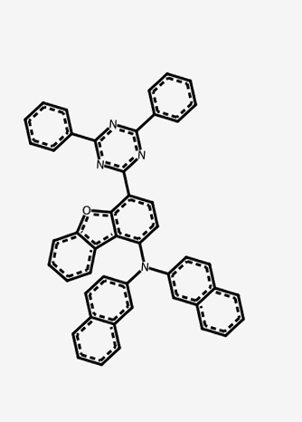 c1ccc(-c2nc(-c3ccccc3)nc(-c3ccc(N(c4ccc5ccccc5c4)c4ccc5ccccc5c4)c4c3oc3ccccc34)n2)cc1